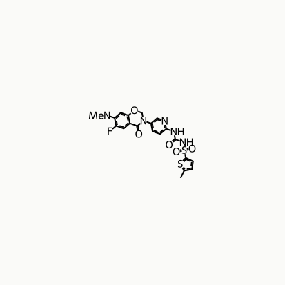 CNc1cc2c(cc1F)C(=O)N(c1ccc(NC(=O)NS(=O)(=O)c3ccc(C)s3)nc1)CO2